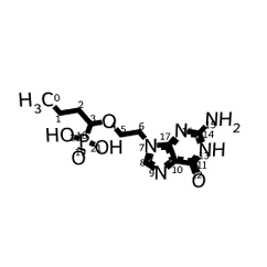 CCCC(OCCn1cnc2c(=O)[nH]c(N)nc21)P(=O)(O)O